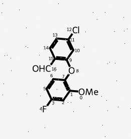 COc1cc(F)ccc1Oc1cc(Cl)ccc1C=O